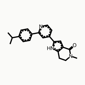 CC(C)c1ccc(-c2cc(-c3cc4c([nH]3)CCN(C)C4=O)ccn2)cc1